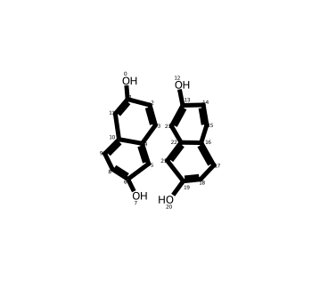 Oc1ccc2cc(O)ccc2c1.Oc1ccc2ccc(O)cc2c1